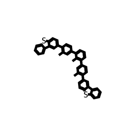 Cc1cc(-c2cccc(-c3ccc(-c4ccc5sc6ccccc6c5c4)c(C)c3)c2C)ccc1-c1ccc2sc3ccccc3c2c1